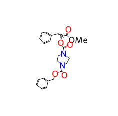 COC(=O)[C@H](Cc1ccccc1)OC(=O)N1CCN(C(=O)OCc2ccccc2)CC1